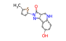 Cc1ccc(-n2nc3c4cc(O)ccc4[nH]cc-3c2=O)s1